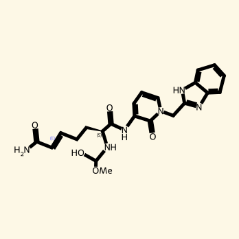 COC(O)N[C@@H](CC/C=C/C(N)=O)C(=O)Nc1cccn(Cc2nc3ccccc3[nH]2)c1=O